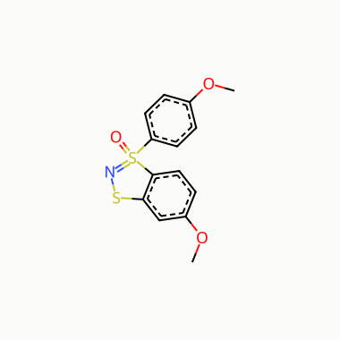 COc1ccc(S2(=O)=NSc3cc(OC)ccc32)cc1